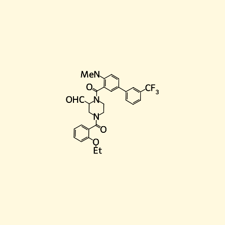 CCOc1ccccc1C(=O)N1CCN(C(=O)c2cc(-c3cccc(C(F)(F)F)c3)ccc2NC)C(C=O)C1